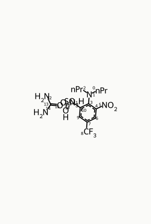 CCCN(CCC)c1c([N+](=O)[O-])cc(C(F)(F)F)cc1[N+](=O)[O-].NC(N)=O.O=S(=O)(O)O